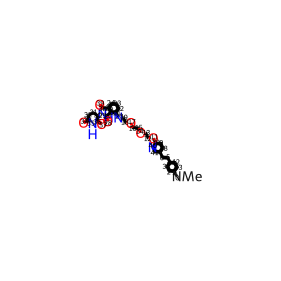 CNc1ccc(/C=C/c2ccc(OCCOCCOCCNc3cccc4c3C(=O)N(C3CCC(=O)NC3=O)C4=O)nc2)cc1